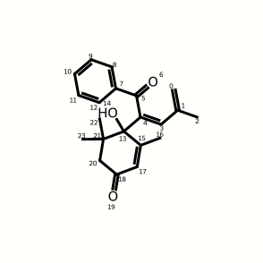 C=C(C)/C=C(\C(=O)c1ccccc1)C1(O)C(C)=CC(=O)CC1(C)C